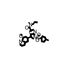 C=CCN(C)C(=O)c1cnc2c(c1)c(-c1cc(OC)c3ncccc3c1)cn2S(=O)(=O)c1ccc(C)cc1